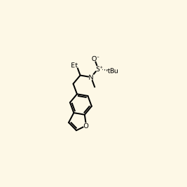 CCC(Cc1ccc2occc2c1)N(C)[S@+]([O-])C(C)(C)C